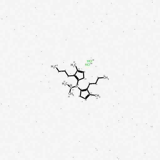 CCCCC1=[C]([Zr]([C]2=C(CCCC)C(C)=CC2)[SiH](C)C)CC=C1C.Cl.Cl